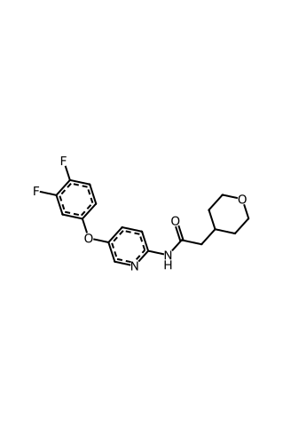 O=C(CC1CCOCC1)Nc1ccc(Oc2ccc(F)c(F)c2)cn1